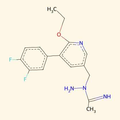 CCOc1ncc(CN(N)C(C)=N)cc1-c1ccc(F)c(F)c1